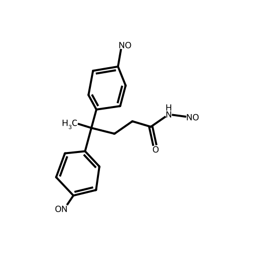 CC(CCC(=O)NN=O)(c1ccc(N=O)cc1)c1ccc(N=O)cc1